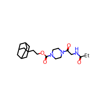 CCC(=O)NCC(=O)N1CCN(C(=O)OCCC23CC4CC(CC(C4)C2)C3)CC1